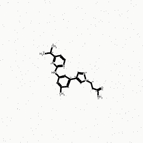 Cc1cc(Nc2nccc(C(C)C)n2)cc(-c2cnn(CCC(N)=O)c2)c1